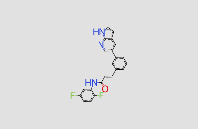 O=C(C=Cc1cccc(-c2cnc3[nH]ccc3c2)c1)Nc1cc(F)ccc1F